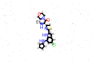 CCNC(C(=O)N1CCOCC1)[C@@H]1CSC(c2cc3cc(Cl)cc(NC4CCCC4)c3[nH]2)=N1